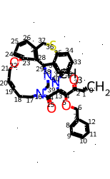 C=CC(=O)/C(OCc1ccccc1)=C1/C(=O)N2CC/C=C\COc3cccc4c3C(c3ccccc3SC4)N(C2)N1C